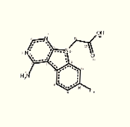 Nc1ncnc2c1c1ccc(F)cc1n2CC(=O)O